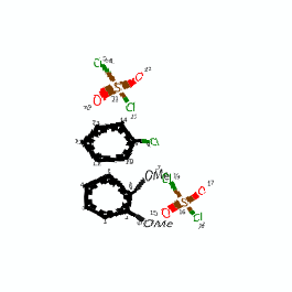 COc1ccccc1OC.Clc1ccccc1.O=S(=O)(Cl)Cl.O=S(=O)(Cl)Cl